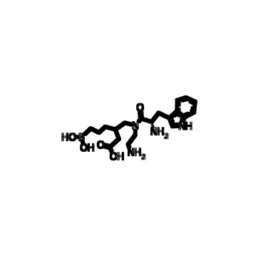 NCCN(CC(CCCB(O)O)CC(=O)O)C(=O)[C@@H](N)Cc1c[nH]c2ccccc12